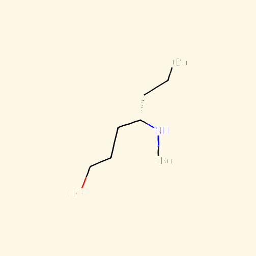 CC(C)(C)CC[C@@H](CCCO)NC(C)(C)C